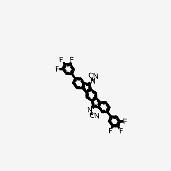 N#C/N=c1\c2cc(-c3cc(F)c(F)c(F)c3)ccc2c2cc3/c(=N/C#N)c4cc(-c5cc(F)c(F)c(F)c5)ccc4c3cc12